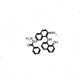 NNC(=O)c1ccccc1.Nc1ccc2ccccc2c1Nc1cccc2cccc(O)c12